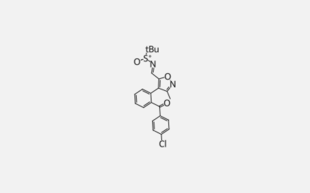 Cc1noc(C=N[S+]([O-])C(C)(C)C)c1-c1ccccc1C(=O)c1ccc(Cl)cc1